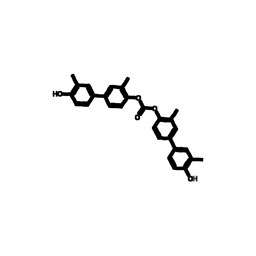 Cc1cc(-c2ccc(OC(=O)Oc3ccc(-c4ccc(O)c(C)c4)cc3C)c(C)c2)ccc1O